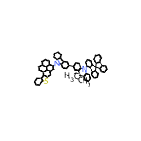 CC1(C)c2ccccc2N(c2cccc3c2-c2ccccc2C32c3ccccc3-c3ccccc32)c2ccc(-c3ccc4c(c3)c3ccccc3n4-c3cc4cc5sc6ccccc6c5c5ccc6cccc3c6c45)cc21